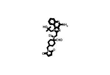 CCN(Cc1nc2c(N)nc3ccccc3c2n1CC(C)(C)O)C1(C=O)CCC(CN2C(=O)C=CC2=O)CC1